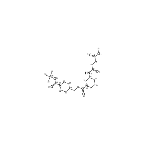 COC(=O)CCC(=O)NC1CCCN(C(=O)CCC2CCN(C(=O)OC(C)(C)C)CC2)C1